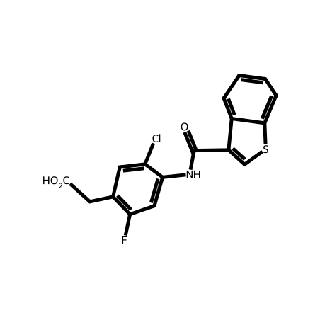 O=C(O)Cc1cc(Cl)c(NC(=O)c2csc3ccccc23)cc1F